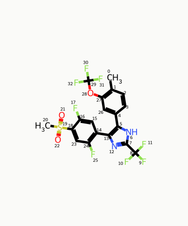 Cc1ccc(-c2[nH]c(C(F)(F)F)nc2-c2cc(F)c(S(C)(=O)=O)cc2F)cc1OC(F)(F)F